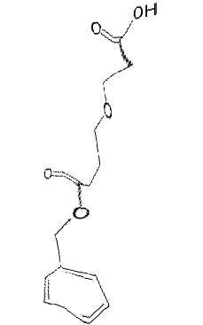 O=C(O)CCOCCC(=O)OCc1ccccc1